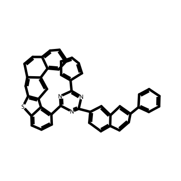 c1ccc(-c2ccc3ccc(-c4nc(-c5ccccc5)nc(-c5cccc6sc7cc8ccc9ccccc9c8cc7c56)n4)cc3c2)cc1